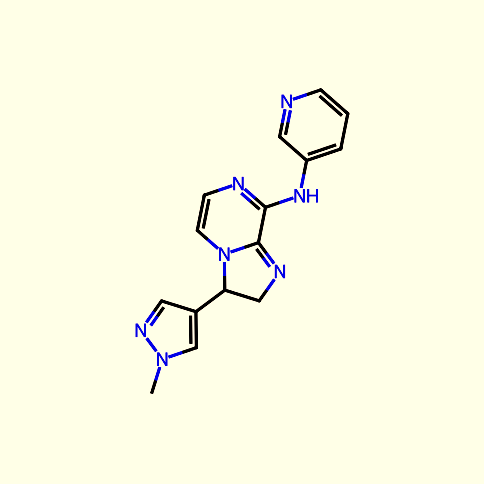 Cn1cc(C2CN=C3C(Nc4cccnc4)=NC=CN32)cn1